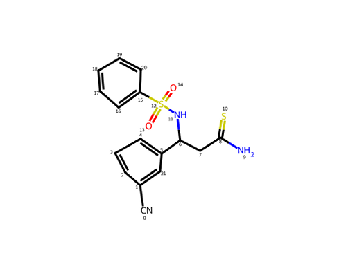 N#Cc1cccc(C(CC(N)=S)NS(=O)(=O)c2ccccc2)c1